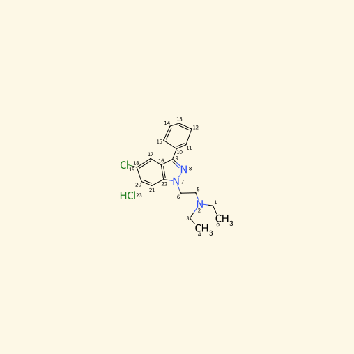 CCN(CC)CCn1nc(-c2ccccc2)c2cc(Cl)ccc21.Cl